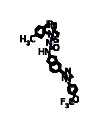 Cc1ccc(C(C)C)c(N2C(=O)CS/C2=N\C(=O)NC2Cc3ccc(-c4ncn(-c5ccc(OC(F)(F)F)cc5)n4)cc3C2)c1